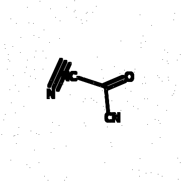 C#N.N#CC(=O)C#N